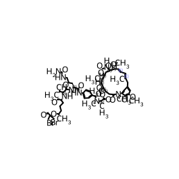 COc1cc2cc(c1Cl)N(C)C(=O)C[C@H](OC(=O)[C@H](C)N(C)C(=O)c1ccc(NC(=O)[C@H](CCCNC(N)=O)NC(=O)[C@@H](NC(C=O)CCCC(C)OC(C=O)(CBr)CBr)C(C)C)cc1)[C@]1(C)O[C@H]1[C@H](C)[C@@H]1C[C@@](O)(NC(=O)O1)[C@H](OC)/C=C/C=C(\C)C2